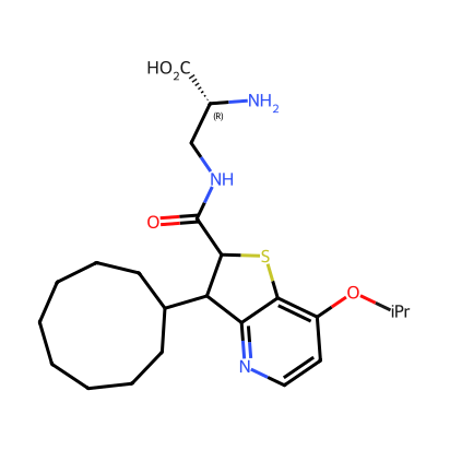 CC(C)Oc1ccnc2c1SC(C(=O)NC[C@@H](N)C(=O)O)C2C1CCCCCCCC1